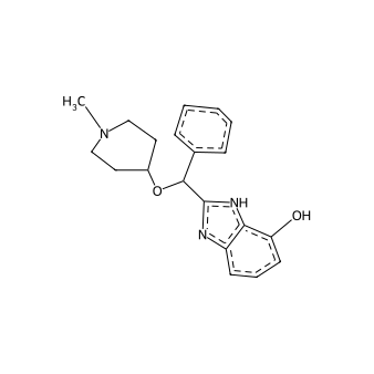 CN1CCC(OC(c2ccccc2)c2nc3cccc(O)c3[nH]2)CC1